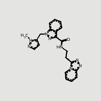 Cn1nccc1Cn1nc(C(=O)NCCc2nnc3ccccn23)c2ccccc21